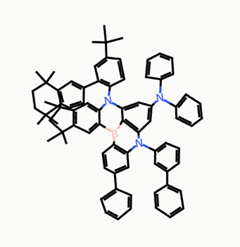 CC(C)(C)c1ccc(N2c3cc4c(cc3B3c5ccc(-c6ccccc6)cc5N(c5cccc(-c6ccccc6)c5)c5cc(N(c6ccccc6)c6ccccc6)cc2c53)C(C)(C)CC4(C)C)c(-c2ccc3c(c2)C(C)(C)CCC3(C)C)c1